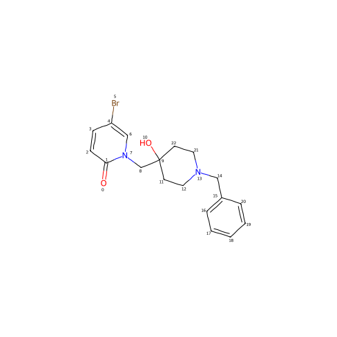 O=c1ccc(Br)cn1CC1(O)CCN(Cc2ccccc2)CC1